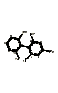 Fc1cc(F)c(-c2c(F)c[c]cc2F)c(F)c1